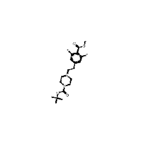 COC(=O)c1c(F)cc(CCN2CCN(C(=O)OC(C)(C)C)CC2)cc1F